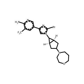 CC(C)c1nc(-c2cnc(N)c(C(F)(F)F)c2)cn1C1[C@H]2CC(N3CCCOCC3)C[C@@H]12